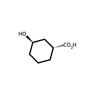 O=C(O)[C@@H]1CCC[C@@H](O)C1